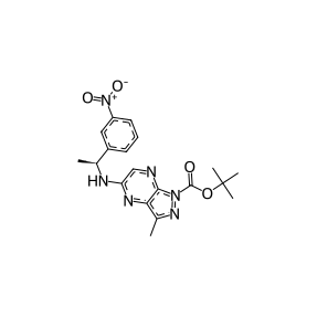 Cc1nn(C(=O)OC(C)(C)C)c2ncc(N[C@@H](C)c3cccc([N+](=O)[O-])c3)nc12